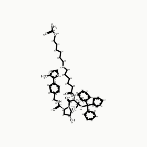 Cc1ncsc1-c1ccc(CNC(=O)[C@@H]2C[C@@H](O)CN2C(=O)[C@@H](NC(=O)CCCCCOCCCCCCOC(N)=O)C(C)(C)SC(c2ccccc2)(c2ccccc2)c2ccccc2)cc1